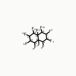 FC1C(F)C(F)C2(F)C(F)C(F)C(F)C(F)C2(F)C1F